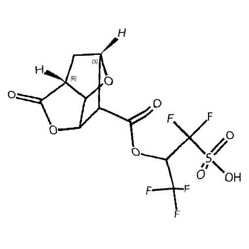 O=C(OC(C(F)(F)F)C(F)(F)S(=O)(=O)O)C1C2OC(=O)[C@@H]3C[C@@H]1OC23